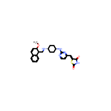 COC1C=Cc2ccccc2C1CN[C@H]1CC[C@H](Nc2nccc(/C=C3\SC(=O)NC3=O)n2)CC1